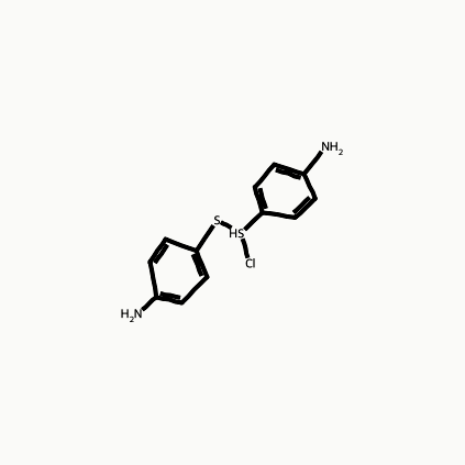 Nc1ccc(S[SH](Cl)c2ccc(N)cc2)cc1